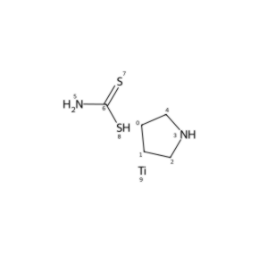 C1CCNC1.NC(=S)S.[Ti]